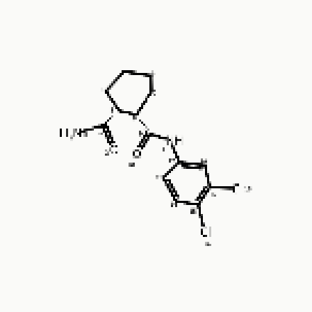 NC(=O)[C@@H]1CCCC[C@@H]1C(=O)Nc1ccc(Cl)c(Cl)c1